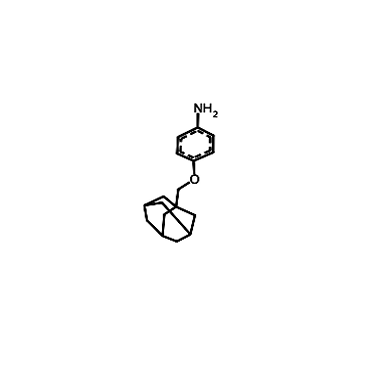 Nc1ccc(OCC23CC4CC(CC(C4)C2)C3)cc1